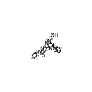 OCCn1cnc2c(-c3cnc4c(ccn4Cc4ccccc4)c3)nc(N3CCOCC3)nc21